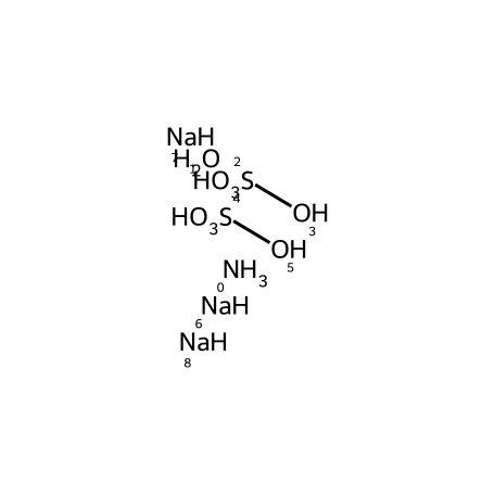 N.O.O=S(=O)(O)O.O=S(=O)(O)O.[NaH].[NaH].[NaH]